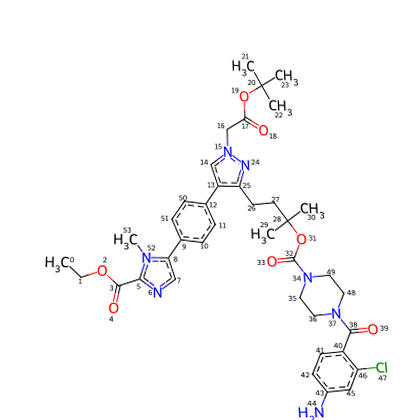 CCOC(=O)c1ncc(-c2ccc(-c3cn(CC(=O)OC(C)(C)C)nc3CCC(C)(C)OC(=O)N3CCN(C(=O)c4ccc(N)cc4Cl)CC3)cc2)n1C